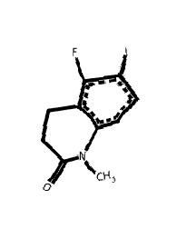 CN1C(=O)CCc2c1ccc(I)c2F